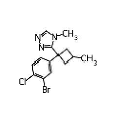 CC1CC(c2ccc(Cl)c(Br)c2)(c2nncn2C)C1